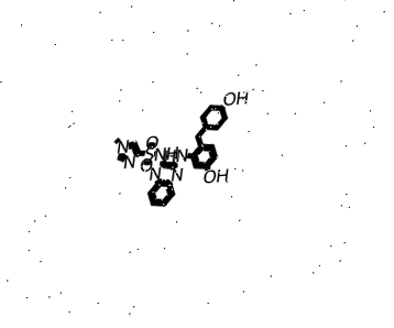 Cn1cnc(S(=O)(=O)Nc2nc3ccccc3nc2Nc2cc(O)ccc2CC2CCC(O)CC2)c1